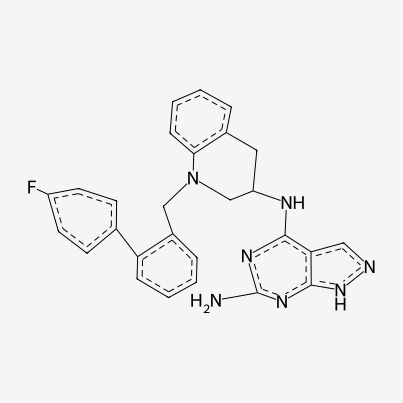 Nc1nc(NC2Cc3ccccc3N(Cc3ccccc3-c3ccc(F)cc3)C2)c2cn[nH]c2n1